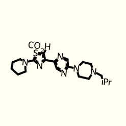 CC(C)CN1CCN(c2cnc(-c3nc(N4CCCCC4)sc3C(=O)O)cn2)CC1